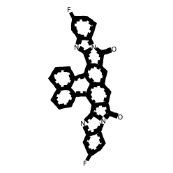 O=c1c2cc3cc4c(=O)n5c6ccc(F)cc6nc5c4c4c5cccc6cccc(c65)c(c34)c2c2nc3cc(F)ccc3n12